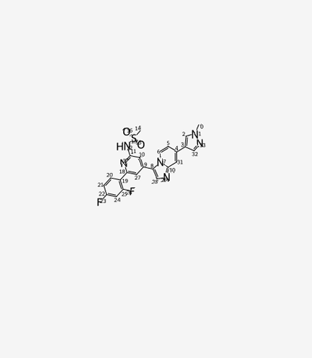 Cn1cc(-c2ccn3c(-c4cc(NS(C)(=O)=O)nc(-c5ccc(F)cc5F)c4)cnc3c2)cn1